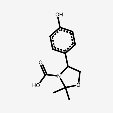 CC1(C)OCC(c2ccc(O)cc2)N1C(=O)O